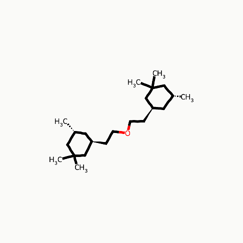 C[C@@H]1C[C@@H](CCOCC[C@@H]2C[C@@H](C)CC(C)(C)C2)CC(C)(C)C1